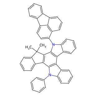 CC1(C)c2ccccc2-c2c1c1c(c3ccccc3n1-c1ccc3c4c(cccc14)-c1ccccc1-3)c1c3ccccc3n(-c3ccccc3)c21